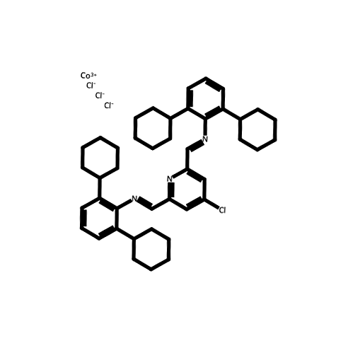 Clc1cc(C=Nc2c(C3CCCCC3)cccc2C2CCCCC2)nc(C=Nc2c(C3CCCCC3)cccc2C2CCCCC2)c1.[Cl-].[Cl-].[Cl-].[Co+3]